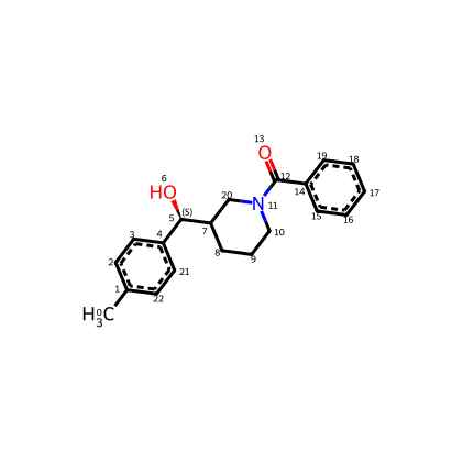 Cc1ccc([C@@H](O)C2CCCN(C(=O)c3ccccc3)C2)cc1